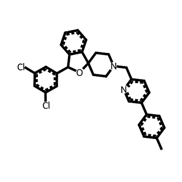 Cc1ccc(-c2ccc(CN3CCC4(CC3)OC(c3cc(Cl)cc(Cl)c3)c3ccccc34)nc2)cc1